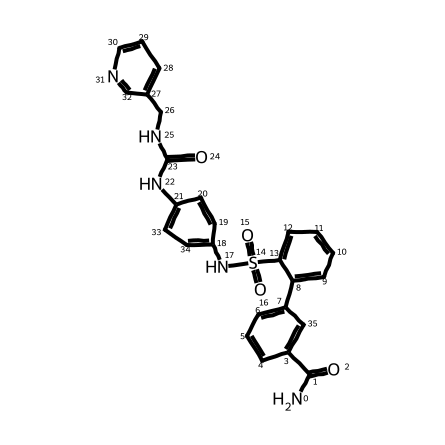 NC(=O)c1cccc(-c2ccccc2S(=O)(=O)Nc2ccc(NC(=O)NCc3cccnc3)cc2)c1